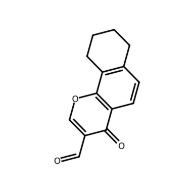 O=Cc1coc2c3c(ccc2c1=O)CCCC3